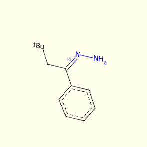 CC(C)(C)C/C(=N/N)c1ccccc1